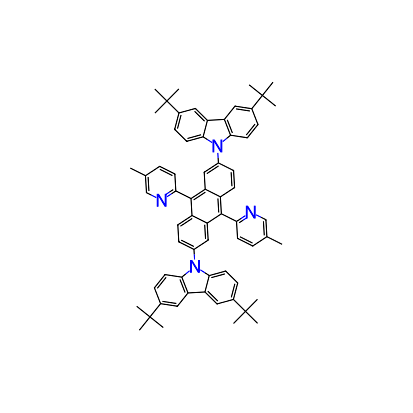 Cc1ccc(-c2c3ccc(-n4c5ccc(C(C)(C)C)cc5c5cc(C(C)(C)C)ccc54)cc3c(-c3ccc(C)cn3)c3ccc(-n4c5ccc(C(C)(C)C)cc5c5cc(C(C)(C)C)ccc54)cc23)nc1